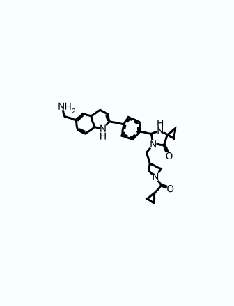 NCC1=CC2CC=C(c3ccc(C4NC5(CC5)C(=O)N4CC4CN(C(=O)C5CC5)C4)cc3)NC2C=C1